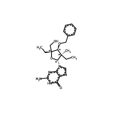 CC[C@]1(CO)O[C@@H](n2cnc3c(=O)[nH]c(N)nc32)[C@](C)(CC)[C@@H]1OCc1ccccc1